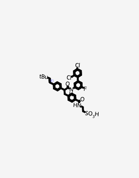 CC(C)(C)/C=C/c1ccc(C(Cc2ccc(C(=O)NCCS(=O)(=O)O)cc2)C(=O)Nc2cc(F)cc(-c3ccc(Cl)cc3Cl)c2)cc1